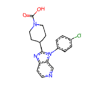 O=C(O)N1CCC(c2nc3ccncc3n2-c2ccc(Cl)cc2)CC1